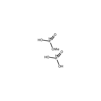 CO[PH](=O)O.O=[PH](O)O